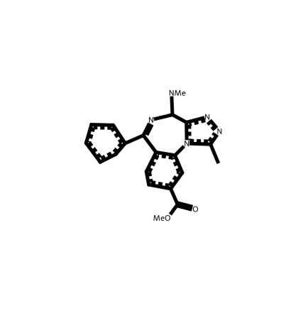 CNC1N=C(c2ccccc2)c2ccc(C(=O)OC)cc2-n2c(C)nnc21